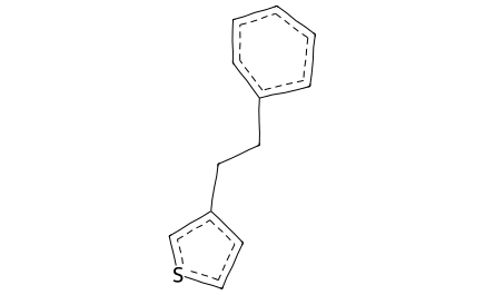 c1ccc(CCc2ccsc2)cc1